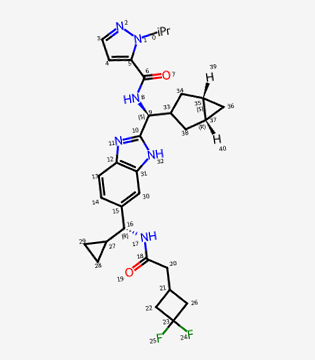 CC(C)n1nccc1C(=O)N[C@H](c1nc2ccc([C@H](NC(=O)CC3CC(F)(F)C3)C3CC3)cc2[nH]1)C1C[C@@H]2C[C@@H]2C1